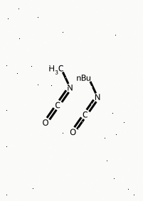 CCCCN=C=O.CN=C=O